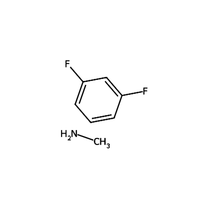 CN.Fc1cccc(F)c1